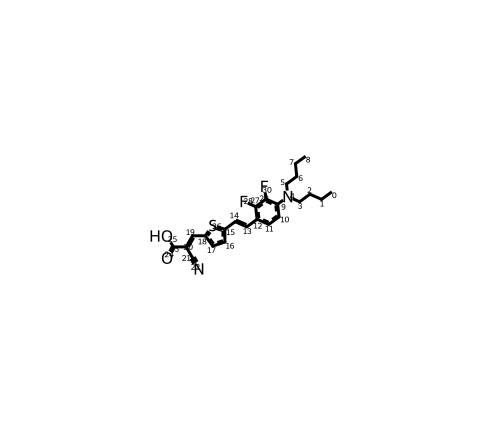 CCCCN(CCCC)c1ccc(/C=C/c2ccc(/C=C(\C#N)C(=O)O)s2)c(F)c1F